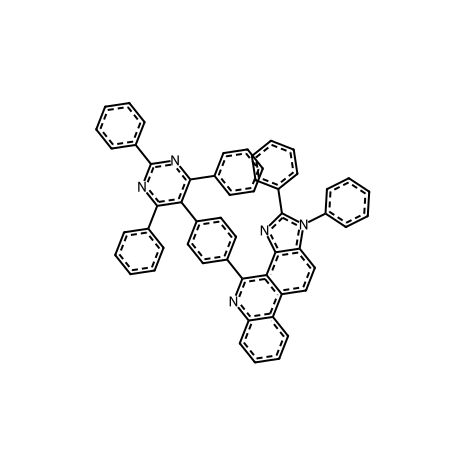 c1ccc(-c2nc(-c3ccccc3)c(-c3ccc(-c4nc5ccccc5c5ccc6c(nc(-c7ccccc7)n6-c6ccccc6)c45)cc3)c(-c3ccccc3)n2)cc1